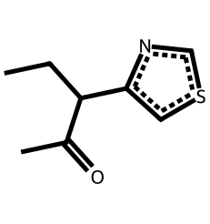 CCC(C(C)=O)c1cscn1